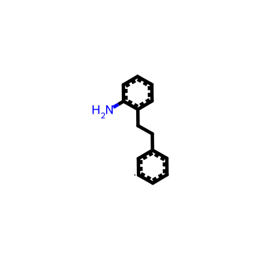 Nc1ccccc1CCc1c[c]ccc1